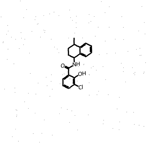 CC1CCC(NC(=O)c2cccc(Cl)c2O)c2ccccc21